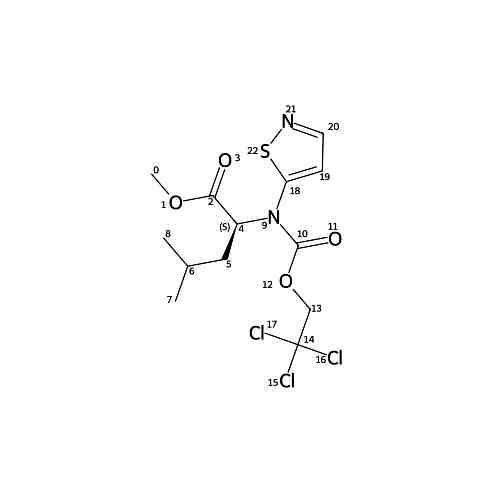 COC(=O)[C@H](CC(C)C)N(C(=O)OCC(Cl)(Cl)Cl)c1ccns1